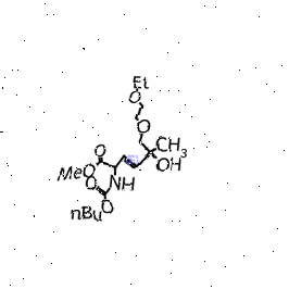 CCCCOC(=O)NC(/C=C/C(C)(O)COCCOCC)C(=O)OC